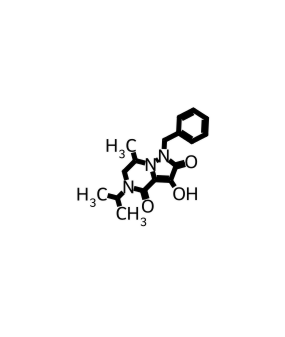 CC(C)N1CC(C)n2c(c(O)c(=O)n2Cc2ccccc2)C1=O